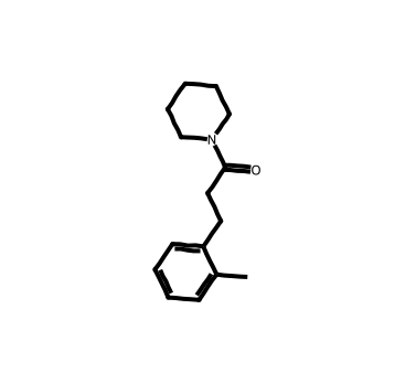 Cc1ccccc1CCC(=O)N1CCCCC1